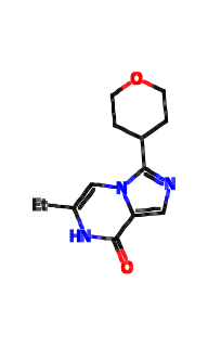 CCc1cn2c(C3CCOCC3)ncc2c(=O)[nH]1